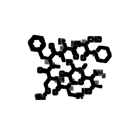 CCC(C(=O)N(C)[C@@H](CC(C)C)C(=O)NC(COC(C)(C)C)C(=O)N(C)[C@@H](Cc1ccccc1)C(=O)N(C)[C@@H](CC)C(=O)N[C@@H](C=O)C(=O)N1CCCCC1)N(C)C(=O)C(N)[C@@H](C)O